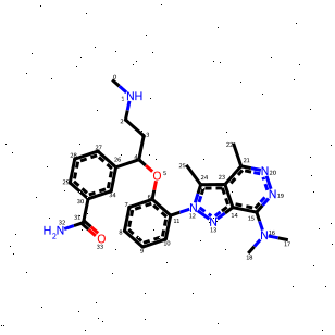 CNCCC(Oc1ccccc1-n1nc2c(N(C)C)nnc(C)c2c1C)c1cccc(C(N)=O)c1